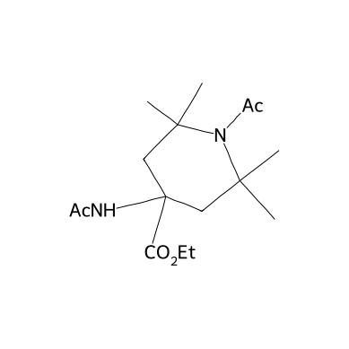 CCOC(=O)C1(NC(C)=O)CC(C)(C)N(C(C)=O)C(C)(C)C1